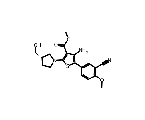 COC(=O)c1c(N2CC[C@H](CO)C2)sc(-c2ccc(OC)c(C#N)c2)c1N